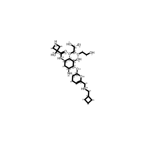 CC[C@@H](O)[C@H](OCCO)O[C@@H]1[C@@H](O)[C@H](O[C@@H]2CCC=C(CNCC3CCC3)O2)[C@@H](N)C[C@H]1NC(=O)C1(O)CNC1